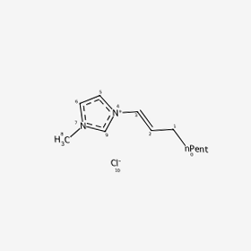 CCCCCCC=C[n+]1ccn(C)c1.[Cl-]